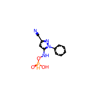 N#Cc1cc(NO[PH](=O)O)n(-c2ccccc2)n1